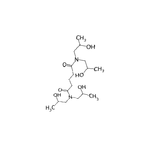 CC(O)CN(CC(C)O)C(=O)CCCC(=O)N(CC(C)O)CC(C)O